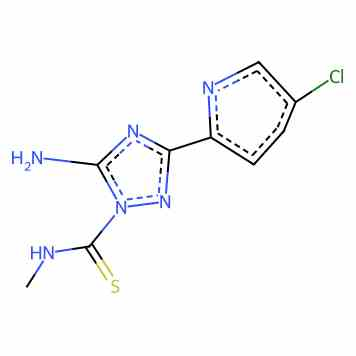 CNC(=S)n1nc(-c2ccc(Cl)cn2)nc1N